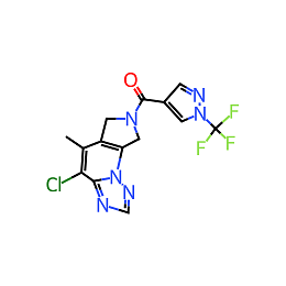 Cc1c2c(n3ncnc3c1Cl)CN(C(=O)c1cnn(C(F)(F)F)c1)C2